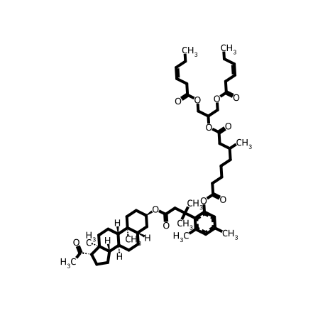 CC/C=C\CC(=O)OCC(COC(=O)C/C=C\CC)OC(=O)CC(C)CCCCC(=O)Oc1cc(C)cc(C)c1C(C)(C)CC(=O)O[C@@H]1CC[C@@]2(C)[C@@H](CC[C@@H]3[C@@H]2CC[C@]2(C)[C@@H](C(C)=O)CC[C@@H]32)C1